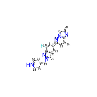 Cc1cn2nc(-c3cc(F)c4nn(CC5CCNCC5)cc4c3)cc(C)c2n1